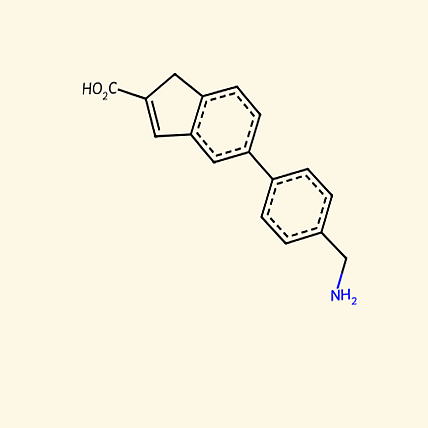 NCc1ccc(-c2ccc3c(c2)C=C(C(=O)O)C3)cc1